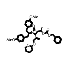 C=C(COC1CCCCO1)[C@@H]1[C@@H]([C@@H](C)OC(=O)OCc2ccccc2)C(=O)N1C(Cc1ccc(OC)cc1)Cc1ccc(OC)cc1